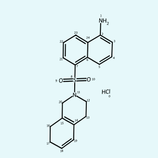 Cl.Nc1cccc2c(S(=O)(=O)N3CCC4=C(CCC=C4)C3)cccc12